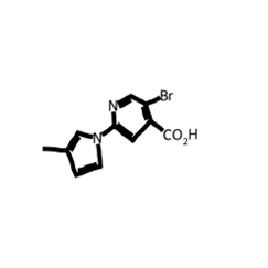 Cc1ccn(-c2cc(C(=O)O)c(Br)cn2)c1